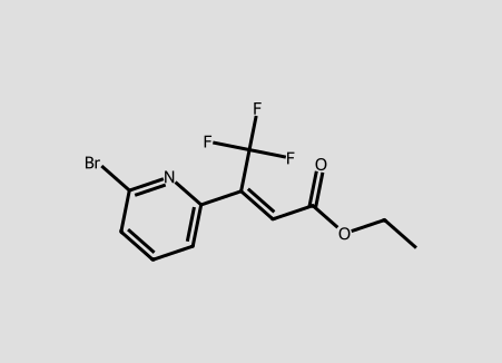 CCOC(=O)/C=C(/c1cccc(Br)n1)C(F)(F)F